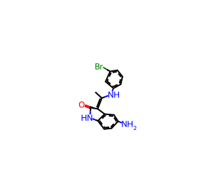 CC(Nc1cccc(Br)c1)=C1C(=O)Nc2ccc(N)cc21